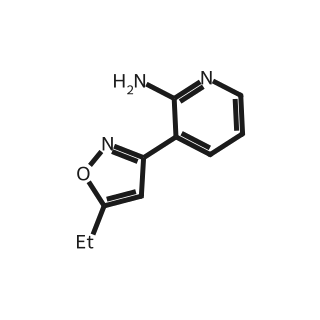 CCc1cc(-c2cccnc2N)no1